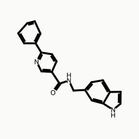 O=C(NCc1ccc2cc[nH]c2c1)c1ccc(-c2ccccc2)nc1